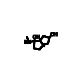 CNC1(O)CCN2CC(O)CC21